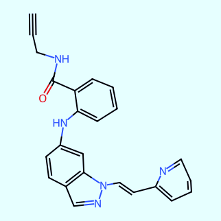 C#CCNC(=O)c1ccccc1Nc1ccc2cnn(C=Cc3ccccn3)c2c1